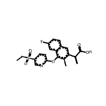 CCS(=O)(=O)c1ccc(Oc2c(C)c(C(C)C(=O)O)cc3ccc(F)cc23)nc1